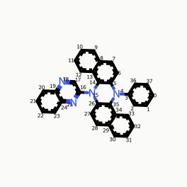 c1ccc(N2c3ccc4ccccc4c3N(c3cnc4ccccc4n3)c3ccc4ccccc4c32)cc1